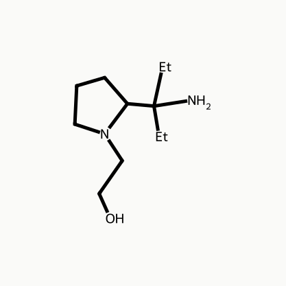 CCC(N)(CC)C1CCCN1CCO